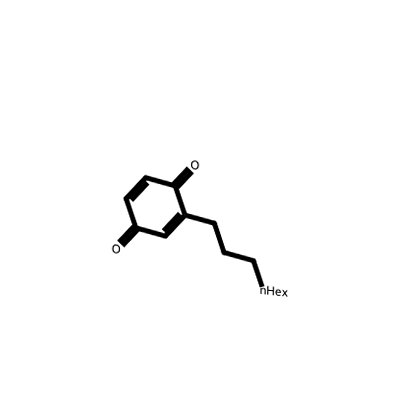 CCCCCCCCCC1=CC(=O)C=CC1=O